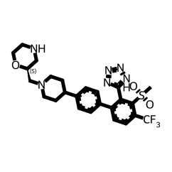 CS(=O)(=O)c1c(C(F)(F)F)ccc(-c2ccc(C3CCN(C[C@@H]4CNCCO4)CC3)cc2)c1-c1nnn[nH]1